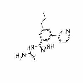 CCCc1cc(-c2cccnc2)c2[nH]nc(NC(N)=S)c2c1